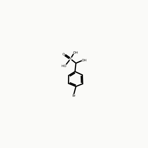 O=P(O)(O)C(O)c1ccc(Br)cc1